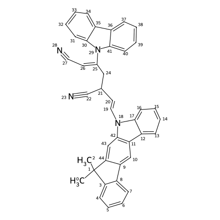 CC1(C)c2ccccc2-c2cc3c4ccccc4n(/C=C/C(C#N)C/C(=C/C#N)n4c5ccccc5c5ccccc54)c3cc21